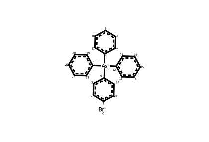 [Br-].c1ccc([As+](c2ccccc2)(c2ccccc2)c2ccccc2)cc1